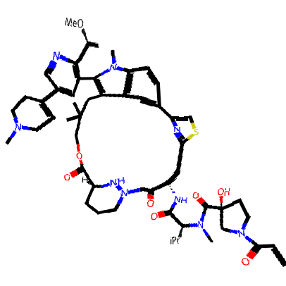 C=CC(=O)N1CC[C@@](O)(C(=O)N(C)[C@H](C(=O)N[C@H]2Cc3nc(cs3)-c3ccc4c(c3)c(c(-c3cc(C5=CCN(C)CC5)cnc3[C@H](C)OC)n4C)CC(C)(C)COC(=O)[C@@H]3CCCN(N3)C2=O)C(C)C)C1